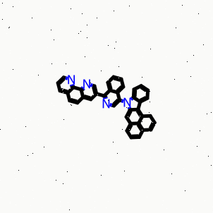 C1=Cc2cccc3cc4c(c(c23)C1)c1ccccc1n4-c1cnc(-c2cnc3c(ccc4cccnc43)c2)c2ccccc12